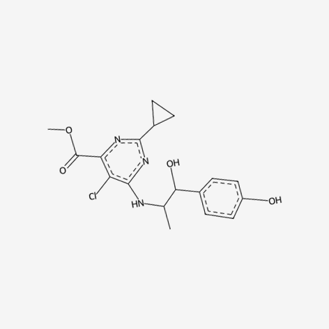 COC(=O)c1nc(C2CC2)nc(NC(C)C(O)c2ccc(O)cc2)c1Cl